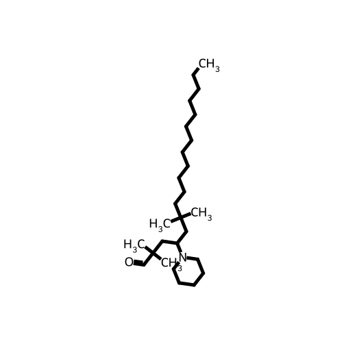 CCCCCCCCCCCCC(C)(C)CC(CC(C)(C)C=O)N1CCCCC1